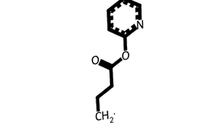 [CH2]CCC(=O)Oc1ccccn1